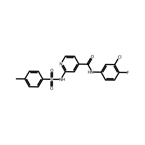 Cc1ccc(S(=O)(=O)Nc2cc(C(=O)Nc3ccc(F)c(Cl)c3)ccn2)cc1